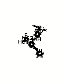 CCOP(=O)(OCC)c1ccc(NC(=O)c2cccc(C#Cc3ccccn3)c2)cc1.O=C(O)C(F)(F)F